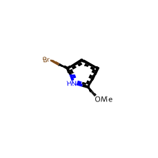 COc1ccc(Br)[nH]1